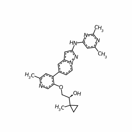 Cc1cc(-c2ccn3nc(Nc4cc(C)nc(C)n4)cc3c2)c(OC[C@@H](O)C2(C)CC2)cn1